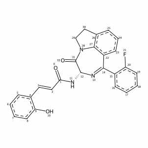 O=C(/C=C/c1ccccc1O)N[C@H]1N=C(c2ccccc2F)c2cccc3c2N(CC3)C1=O